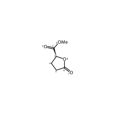 COC(=O)[C@@H]1CCC(=O)O1